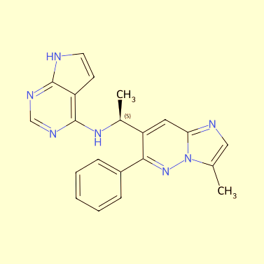 Cc1cnc2cc([C@H](C)Nc3ncnc4[nH]ccc34)c(-c3ccccc3)nn12